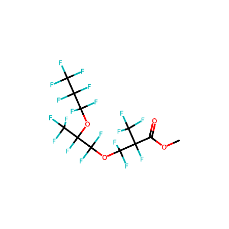 COC(=O)C(F)(C(F)(F)F)C(F)(F)OC(F)(F)C(F)(OC(F)(F)C(F)(F)C(F)(F)F)C(F)(F)F